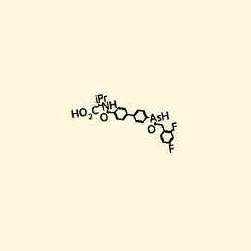 CC(C)[C@H](NC(=O)c1ccc(-c2ccc([AsH]C(=O)Cc3ccc(F)cc3F)cc2)cc1)C(=O)O